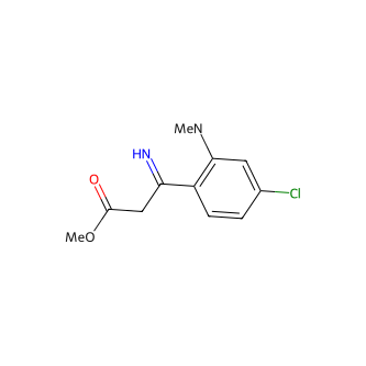 CNc1cc(Cl)ccc1C(=N)CC(=O)OC